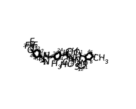 CCCc1ccc(C)cc1N1CCS/C1=N\C(O)N/C(C)=C(\C)c1ccc(-c2ncn(-c3ccc(OC(F)(F)F)cc3)n2)cc1